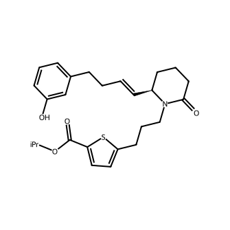 CC(C)OC(=O)c1ccc(CCCN2C(=O)CCC[C@@H]2C=CCCc2cccc(O)c2)s1